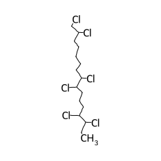 CCC(Cl)C(Cl)CCCC(Cl)C(Cl)CCCCCC(Cl)CCl